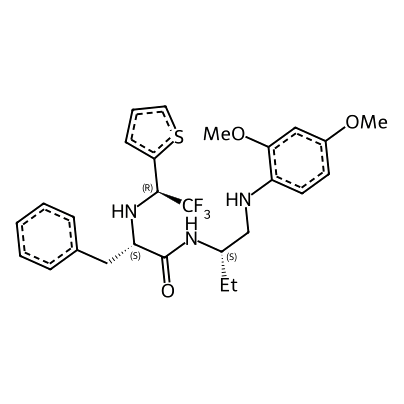 CC[C@@H](CNc1ccc(OC)cc1OC)NC(=O)[C@H](Cc1ccccc1)N[C@@H](c1cccs1)C(F)(F)F